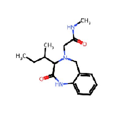 CCC(C)C1C(=O)Nc2ccccc2CN1CC(=O)NC